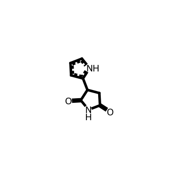 O=C1CC(c2ccc[nH]2)C(=O)N1